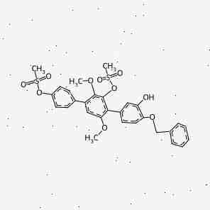 COc1cc(-c2ccc(OS(C)(=O)=O)cc2)c(OC)c(OS(C)(=O)=O)c1-c1ccc(OCc2ccccc2)c(O)c1